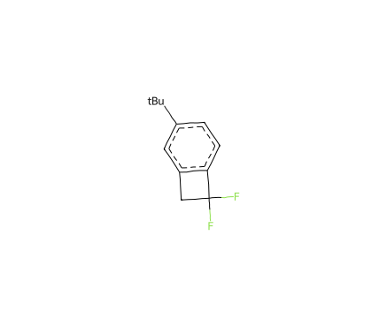 CC(C)(C)c1ccc2c(c1)CC2(F)F